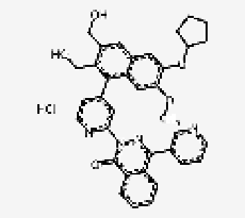 COc1cc2c(-c3ccnc(-n4nc(-c5cccnc5)c5ccccc5c4=O)c3)c(CO)c(CO)cc2cc1OC1CCCC1.Cl